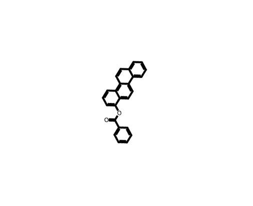 O=C(Oc1cccc2c1ccc1c3ccccc3ccc21)c1ccccc1